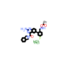 CC(C)C(=O)ONCc1ccc(F)cc1-c1ccc2nc(N)nc(C(=O)N3Cc4ccccc4C3)c2c1.Cl.Cl